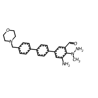 CN(N)c1c(N)cc(-c2ccc(-c3ccc(CN4CCOCC4)cc3)cc2)cc1C=O